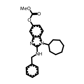 COC(=O)Oc1ccc2c(c1)nc(NCc1ccccc1)n2C1CCCCCC1